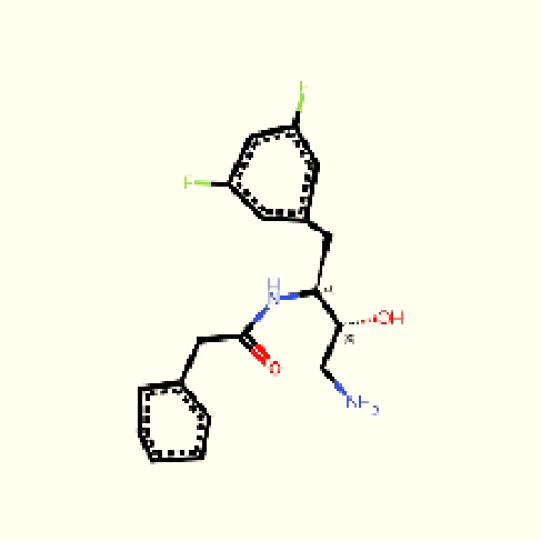 NC[C@@H](O)[C@H](Cc1cc(F)cc(F)c1)NC(=O)Cc1ccccc1